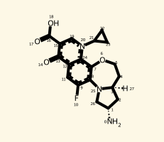 N[C@H]1C[C@@H]2CCOc3c(c(F)cc4c(=O)c(C(=O)O)cn(C5CC5)c34)N2C1